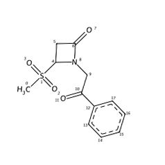 CS(=O)(=O)C1CC(=O)N1CC(=O)c1ccccc1